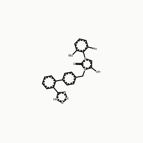 CCCc1cn(-c2c(C(C)=O)cccc2C(C)(C)C)c(=O)n1Cc1ccc(-c2ccccc2-c2nnn[nH]2)cc1